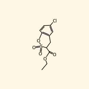 CCOC(=O)C1Cc2cc(Cl)ccc2OS1(=O)=O